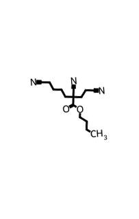 CCCCOC(=O)C(C#N)(CCC#N)CCCCC#N